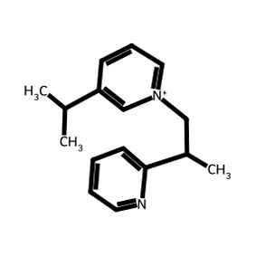 CC(C)c1ccc[n+](CC(C)c2ccccn2)c1